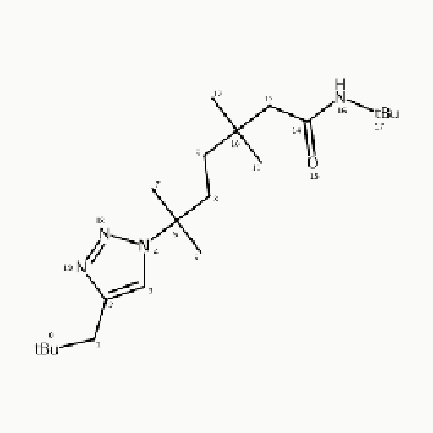 CC(C)(C)Cc1cn(C(C)(C)CCC(C)(C)CC(=O)NC(C)(C)C)nn1